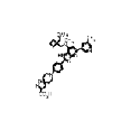 COCC1(CN(C)c2cc(-c3cncc(C(F)(F)F)c3)nc3nc(-c4ccc(N5CCC6(CC5)CC(C(=O)O)=NO6)cc4)[nH]c23)CCC1